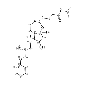 CC(C)OC(=O)CCC[C@H]1CCC[C@@H]2[C@@H](/C=C/[C@@H](O)COc3ccccc3)[C@H](O)C[C@@H]2O1